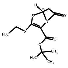 CCSC1=C(C(=O)OC(C)(C)C)N2C(=O)C[C@H]2S1